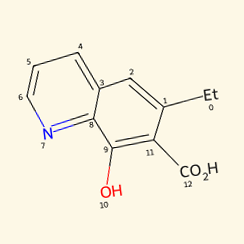 CCc1cc2cccnc2c(O)c1C(=O)O